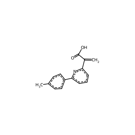 C=C(C(=O)O)c1cccc(-c2ccc(C)cc2)n1